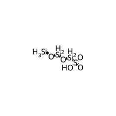 O=S(=O)(O)[SiH2]O[SiH2]O[SiH3]